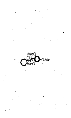 COc1cc(OC)c(C=NC2(C)CCCCCC2)c(OC)c1